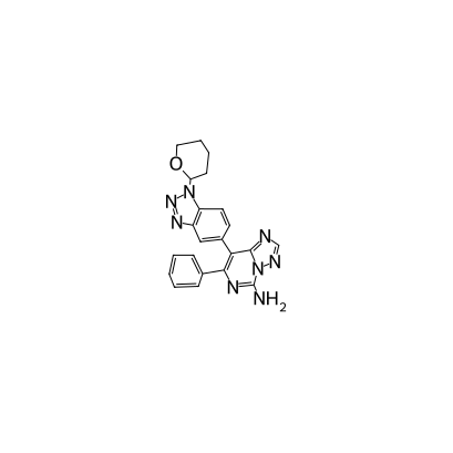 Nc1nc(-c2ccccc2)c(-c2ccc3c(c2)nnn3C2CCCCO2)c2ncnn12